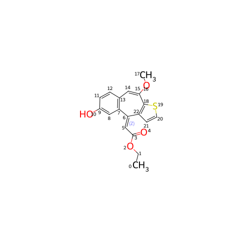 CCOC(=O)/C=C1/c2cc(O)ccc2C=C(OC)c2sccc21